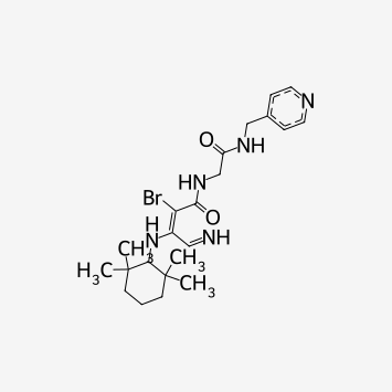 CC1(C)CCCC(C)(C)C1N/C(C=N)=C(\Br)C(=O)NCC(=O)NCc1ccncc1